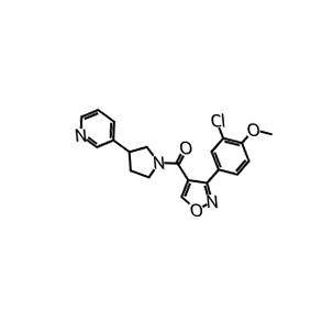 COc1ccc(-c2nocc2C(=O)N2CCC(c3cccnc3)C2)cc1Cl